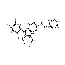 Cc1cc(-n2c(C(C)C)c(C=O)c3cc(OCc4ccccc4)ccc32)ccc1F